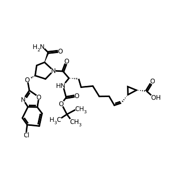 CC(C)(C)OC(=O)N[C@@H](CCCCC/C=C\[C@@H]1C[C@@H]1C(=O)O)C(=O)N1C[C@H](Oc2nc3cc(Cl)ccc3o2)C[C@H]1C(N)=O